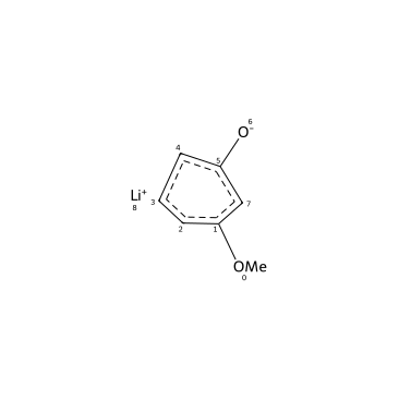 COc1cccc([O-])c1.[Li+]